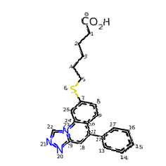 O=C(O)CCCCCSc1ccc2c(-c3ccccc3)cc3nncn3c2c1